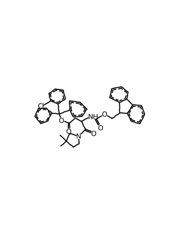 CC1(C)CCN(C(=O)C(CC(=O)OC(c2ccccc2)(c2ccccc2)c2ccccc2Cl)NC(=O)OCC2c3ccccc3-c3ccccc32)C1